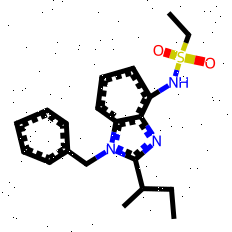 CCC(C)c1nc2c(NS(=O)(=O)CC)cccc2n1Cc1ccccc1